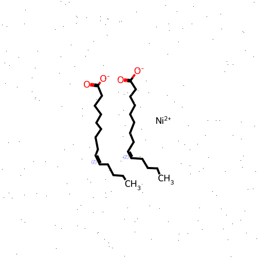 CCCC/C=C\CCCCCCCC(=O)[O-].CCCC/C=C\CCCCCCCC(=O)[O-].[Ni+2]